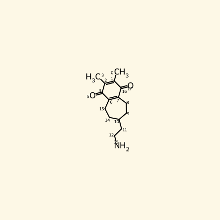 CC1=C(C)C(=O)C2=C(CCC(CCN)CC2)C1=O